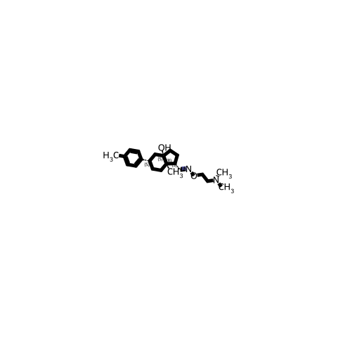 Cc1ccc([C@H]2CC[C@]3(C)[C@@H](/C=N/OCCN(C)C)CC[C@]3(O)C2)cc1